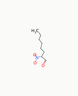 CCCCCCC(C=O)[N+](=O)[O-]